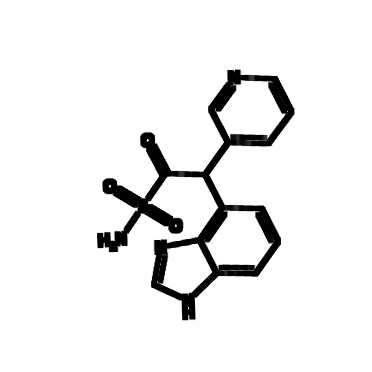 NS(=O)(=O)C(=O)C(c1cccnc1)c1cccc2[nH]cnc12